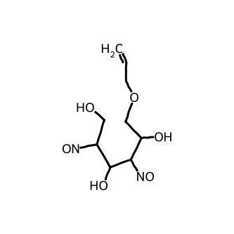 C=CCOCC(O)C(N=O)C(O)C(CO)N=O